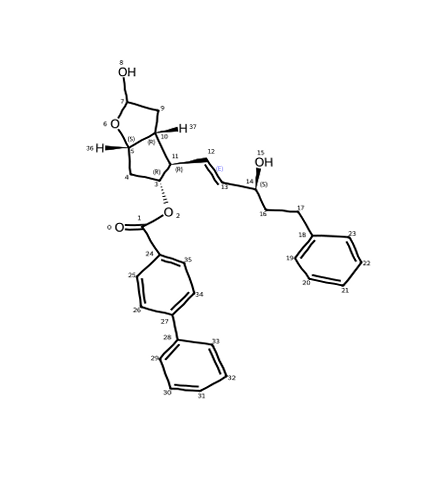 O=C(O[C@@H]1C[C@@H]2OC(O)C[C@@H]2[C@H]1/C=C/[C@@H](O)CCc1ccccc1)c1ccc(-c2ccccc2)cc1